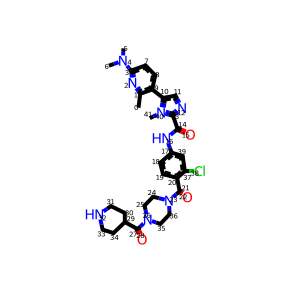 Cc1nc(N(C)C)ccc1-c1cnc(C(=O)Nc2ccc(C(=O)N3CCN(C(=O)C4CCNCC4)CC3)c(Cl)c2)n1C